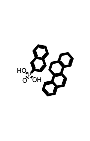 C1=CC2=C(CC1)CCc1c2ccc2ccccc12.O=P(O)(O)c1ccc2ccccc2c1